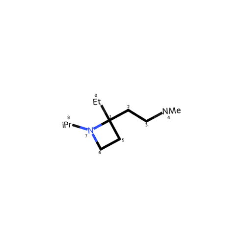 CCC1(CCNC)CCN1C(C)C